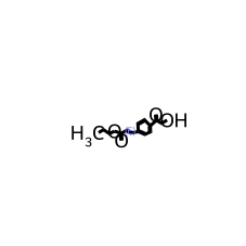 CCCOC(=O)/C=C/c1ccc(C(=O)CO)cc1